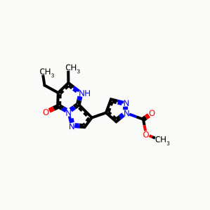 CCc1c(C)[nH]c2c(-c3cnn(C(=O)OC)c3)cnn2c1=O